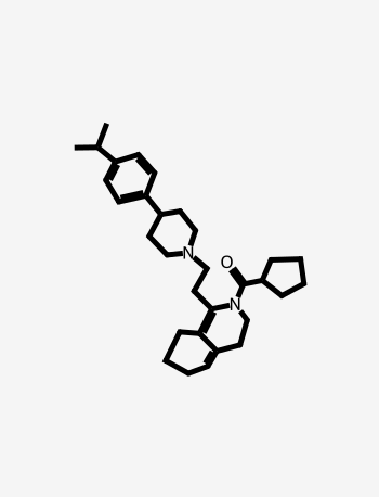 CC(C)c1ccc(C2CCN(CCC3=C4CCCC=C4CCN3C(=O)C3CCCC3)CC2)cc1